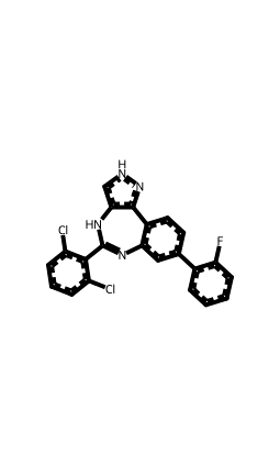 Fc1ccccc1-c1ccc2c(c1)N=C(c1c(Cl)cccc1Cl)Nc1c[nH]nc1-2